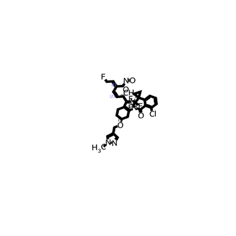 C[C@H](/C=C\C(=C/CF)C(=O)N=O)c1nn(C(=O)c2c(Cl)cccc2C2(C(F)(F)F)CC2)c2c1CC[C@H](OCc1cnn(C)c1)C2